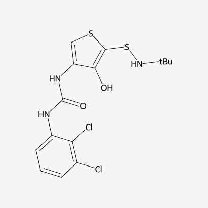 CC(C)(C)NSc1scc(NC(=O)Nc2cccc(Cl)c2Cl)c1O